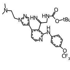 CN(C)CCn1cc(-c2ccnc(Nc3ccc(OC(F)(F)F)cc3)c2C(=N)CNC(=O)OC(C)(C)C)cn1